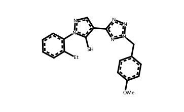 CCc1ccccc1-n1ncc(-c2nnn(Cc3ccc(OC)cc3)n2)c1S